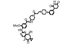 COc1cc(C(=O)NC2CCN(C(=O)CCN3CCN(c4cccc(C5CCC(=O)NC5=O)c4)CC3)CC2)ccc1Nc1ncc2c(n1)N(C(C)C)CC1(CC1)C(=O)N2C